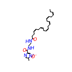 CC/C=C\C/C=C\C/C=C\C/C=C\C/C=C\C/C=C\CCC(=O)NCCNC(=O)c1c[n+]([O-])c(C)cn1